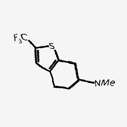 CNC1CCc2cc(C(F)(F)F)sc2C1